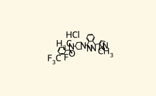 CN(C(=O)c1cccc(C(F)(F)F)c1F)C1CCN(c2nnc(-c3ccnn3C)c3ccccc23)CC1.Cl